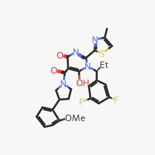 CC[C@@H](c1cc(F)cc(F)c1)n1c(-c2nc(C)cs2)nc(=O)c(C(=O)N2CCC(c3ccccc3OC)C2)c1O